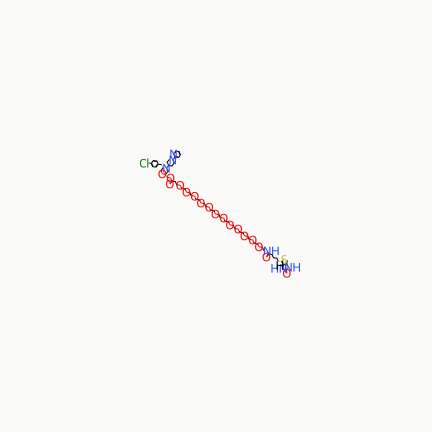 O=C(CCCC[C@@H]1SCC2NC(=O)N[C@@H]21)NCCOCCOCCOCCOCCOCCOCCOCCOCCOCCOCCOCCOCCC(=O)OC[C@H]1CN(C2CCN(c3ccccn3)CC2)[C@@H](Cc2ccc(Cl)cc2)CO1